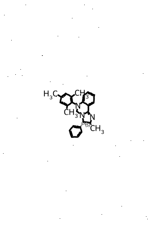 Cc1cc(C)c(N2CN3C(=N[C@@H](C)[C@@H]3c3ccccc3)c3ccccc32)c(C)c1